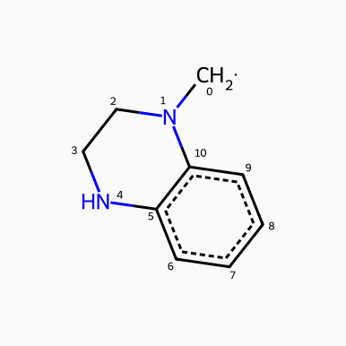 [CH2]N1CCNc2ccccc21